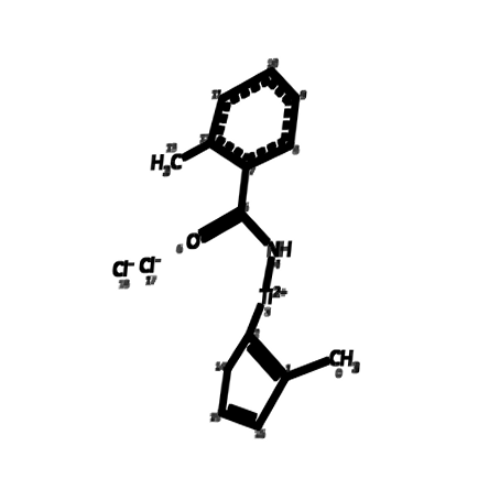 CC1=[C]([Ti+2][NH]C(=O)c2ccccc2C)CC=C1.[Cl-].[Cl-]